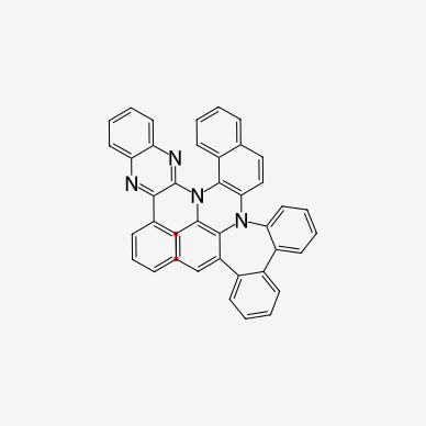 c1ccc(-c2nc3ccccc3nc2N2c3cccc4c3N(c3ccccc3-c3ccccc3-4)c3ccc4ccccc4c32)cc1